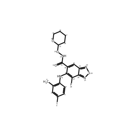 Cc1cc(I)ccc1Nc1c(C(=O)NOC2CCCCO2)cc2nsnc2c1F